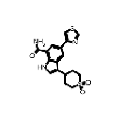 NC(=O)c1cc(-c2cscn2)cc2c(C3CCS(=O)(=O)CC3)c[nH]c12